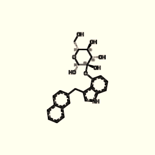 OC[C@H]1O[C@@H](O)[C@@](O)(Oc2cccc3[nH]cc(Cc4ccc5ccccc5c4)c23)[C@@H](O)[C@@H]1O